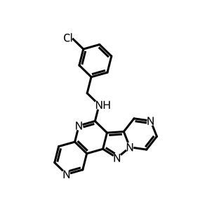 Clc1cccc(CNc2nc3ccncc3c3nn4ccncc4c23)c1